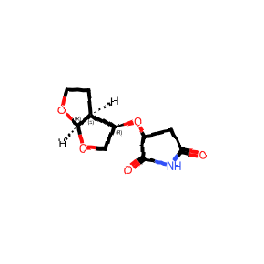 O=C1CC(O[C@H]2CO[C@H]3OCC[C@H]32)C(=O)N1